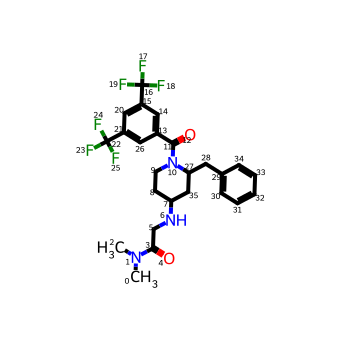 CN(C)C(=O)CNC1CCN(C(=O)c2cc(C(F)(F)F)cc(C(F)(F)F)c2)C(Cc2ccccc2)C1